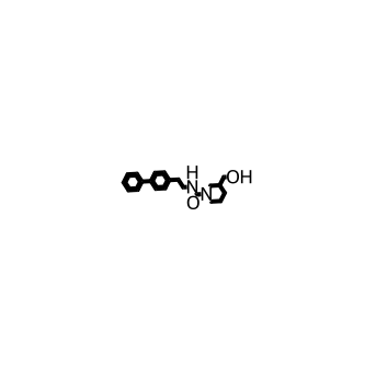 O=C(NCCc1ccc(-c2ccccc2)cc1)N1CCCC(CO)C1